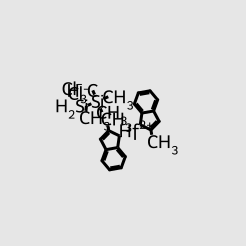 CC1=Cc2ccccc2[CH]1[Hf+2][CH]1C(C)=Cc2ccccc21.C[SiH2][Si](C)(C)C.[Cl-].[Cl-]